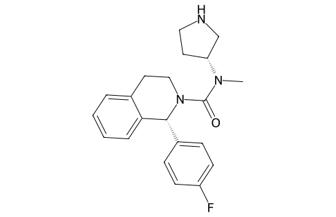 CN(C(=O)N1CCc2ccccc2[C@H]1c1ccc(F)cc1)[C@@H]1CCNC1